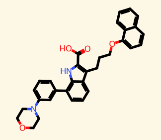 O=C(O)c1[nH]c2c(-c3cccc(N4CCOCC4)c3)cccc2c1CCCOc1cccc2ccccc12